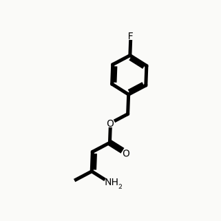 C/C(N)=C/C(=O)OCc1ccc(F)cc1